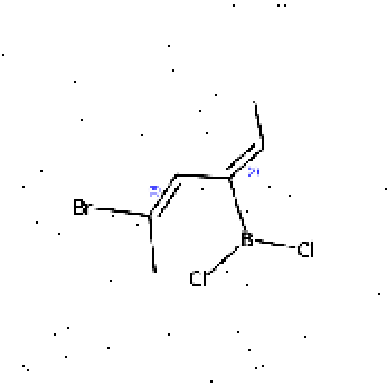 C/C=C(\C=C(/C)Br)B(Cl)Cl